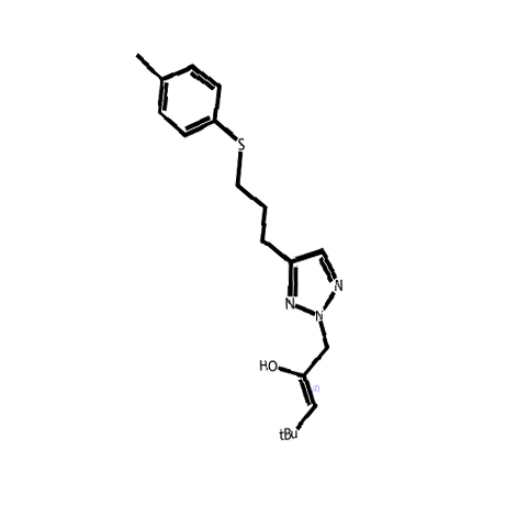 Cc1ccc(SCCCc2cnn(C/C(O)=C/C(C)(C)C)n2)cc1